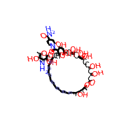 C[C@@H]1OC(=O)CC(O)CC(O)CCC(O)C(O)C[C@H](O)CC2(O)C[C@H](O)C(C(=O)N3CCC(C(N)=O)CC3)[C@H](CC(O[C@@H]3O[C@H](C)[C@@H](O)[C@H](N)[C@@H]3O)/C=C/C=C/C=C/C=C/C=C/C=C/C=C/[C@H](C)C(O)[C@H]1C)O2